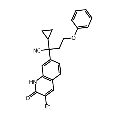 CCc1cc2ccc(C(C#N)(CCOc3ccccc3)C3CC3)cc2[nH]c1=O